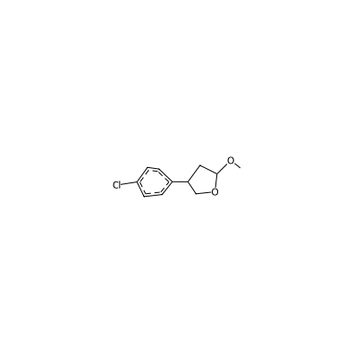 COC1CC(c2ccc(Cl)cc2)CO1